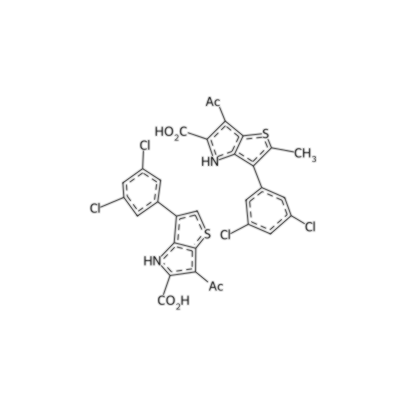 CC(=O)c1c(C(=O)O)[nH]c2c(-c3cc(Cl)cc(Cl)c3)c(C)sc12.CC(=O)c1c(C(=O)O)[nH]c2c(-c3cc(Cl)cc(Cl)c3)csc12